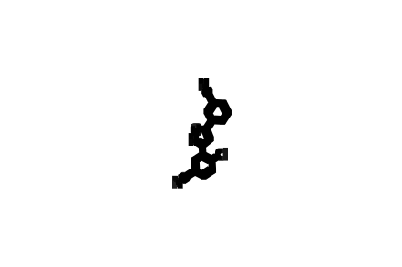 N#Cc1cccc(-c2cc(-c3cc(C#N)ccc3Cl)no2)c1